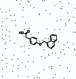 O=C(O)Cc1ccc(OCc2cccc3ccccc23)cc1